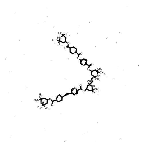 CC1(C)CC(OC(=O)C2CCC(C#Cc3ccc(C(=O)OC4CC(C)(C)NC(C)(CCC5(C)CC(OC(=O)c6ccc(OC(=O)C7CCC(C(=O)OC8CC(C)(C)NC(C)(C)C8)CC7)cn6)CC(C)(C)N5)C4)nc3)CC2)CC(C)(C)N1